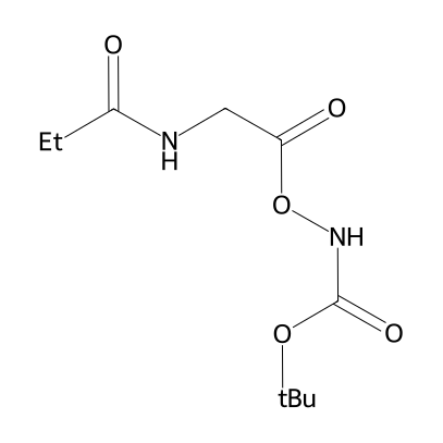 CCC(=O)NCC(=O)ONC(=O)OC(C)(C)C